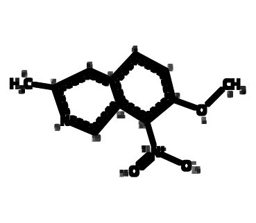 COc1ccc2cc(C)ncc2c1[N+](=O)[O-]